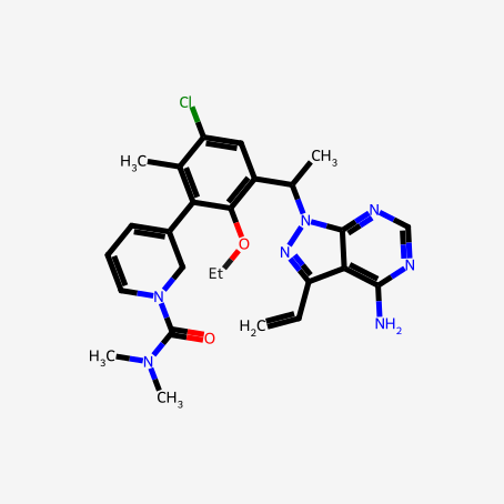 C=Cc1nn(C(C)c2cc(Cl)c(C)c(C3=CC=CN(C(=O)N(C)C)C3)c2OCC)c2ncnc(N)c12